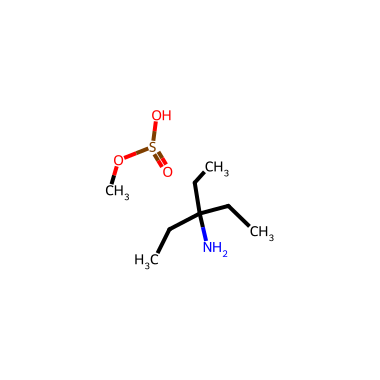 CCC(N)(CC)CC.COS(=O)O